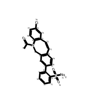 CC(=O)N1Cc2cc(-c3ccccc3S(N)(=O)=O)ccc2C=Cc2cc(Cl)ccc21